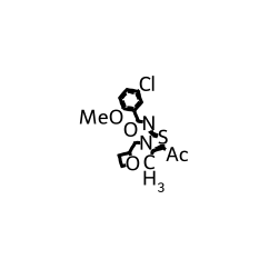 COc1ccc(Cl)cc1C(=O)N=c1sc(C(C)=O)c(C)n1CC1CCO1